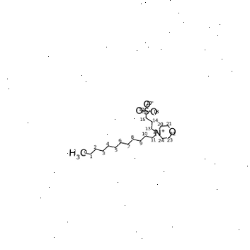 CCCCCCCCCCCC[N+]1(CCCS(=O)(=O)[O-])CCOCC1